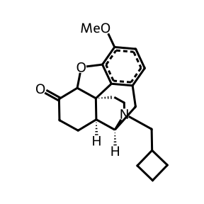 COc1ccc2c3c1OC1C(=O)CC[C@@H]4[C@H](C2)N(CC2CCC2)CC[C@@]314